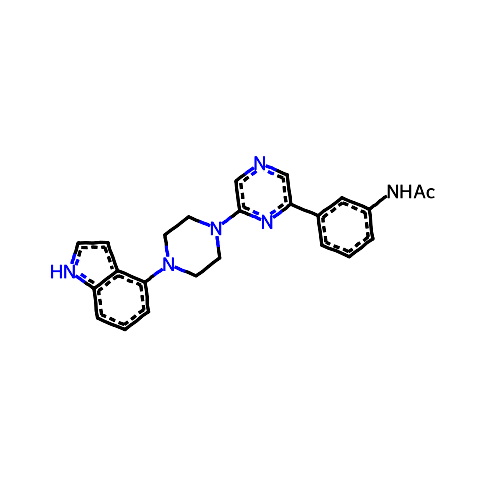 CC(=O)Nc1cccc(-c2cncc(N3CCN(c4cccc5[nH]ccc45)CC3)n2)c1